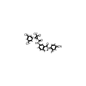 CN(C(=O)c1cc(NC(=O)[C@H]2[C@H](c3cc(Cl)cc(Cl)c3)C2(Cl)Cl)ccc1F)c1ccc(C#N)cc1F